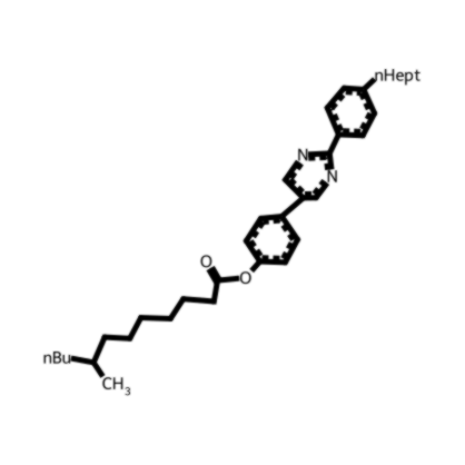 CCCCCCCc1ccc(-c2ncc(-c3ccc(OC(=O)CCCCCCC(C)CCCC)cc3)cn2)cc1